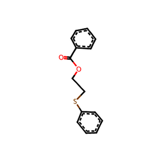 O=C(OCCSc1ccccc1)c1ccccc1